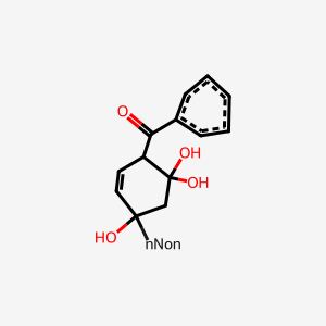 CCCCCCCCCC1(O)C=CC(C(=O)c2ccccc2)C(O)(O)C1